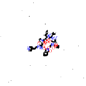 CC[C@H](C)[C@@H]([C@@H](CC(=O)N1CCC[C@H]1[C@H](OC)[C@@H](C)C(=O)NCCc1ccncc1)OC)N(C)C(=O)[C@@H](NC(=O)[C@H](C(C)C)N(CCON1C(=O)c2ccccc2C1=O)C(=O)OC(C)(C)C)C(C)C